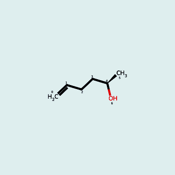 C=CCC[C@@H](C)O